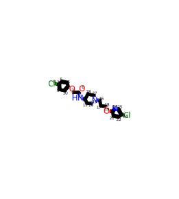 O=C(COc1ccc(Cl)cc1)NC1CCN(CCCOc2ccc(Cl)cn2)CC1